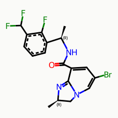 C[C@@H]1CN2C=C(Br)C=C(C(=O)N[C@H](C)c3cccc(C(F)F)c3F)C2=N1